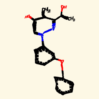 C=C(O)C1=NN(c2cccc(Oc3ccccc3)c2)C=C(O)C1=C